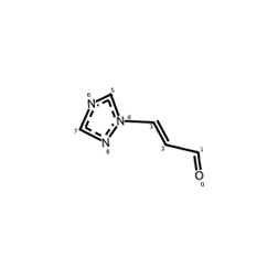 O=CC=Cn1cncn1